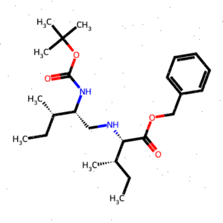 CC[C@H](C)[C@H](NC[C@@H](NC(=O)OC(C)(C)C)[C@@H](C)CC)C(=O)OCc1ccccc1